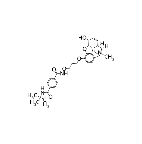 CN1CC[C@]23c4c5ccc(OCCCONC(=O)c6ccc(C(=O)NC(C)(C)C)cc6)c4OC2C(O)C=C[C@H]3[C@H]1C5